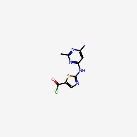 Cc1nc(I)cc(Nc2ncc(C(=O)Cl)s2)n1